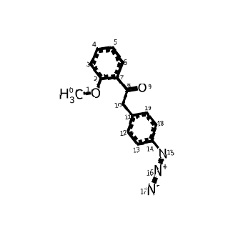 COc1ccccc1C(=O)Cc1ccc(N=[N+]=[N-])cc1